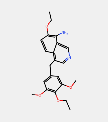 CCOc1ccc2c(Cc3cc(OC)c(OCC)c(OC)c3)cncc2c1N